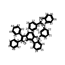 c1ccc(-c2sc3c(ccc4c3c3ccccc3n4-c3cccc(-n4c(-c5ccccc5)nc5ccccc54)c3)c2-c2ccccc2)cc1